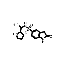 CC(NS(=O)(=O)c1ccc2c(c1)CC(=O)N2)C1CCCN1